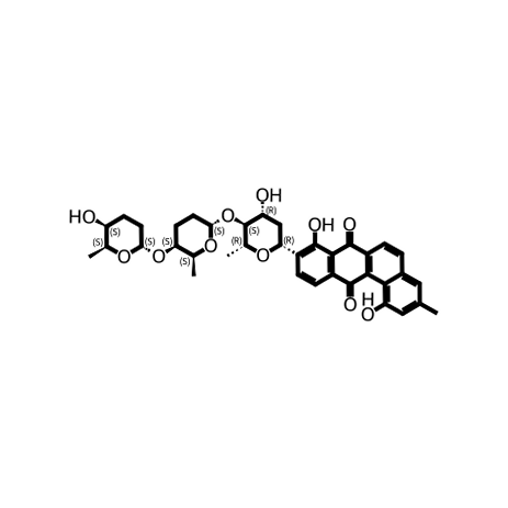 Cc1cc(O)c2c3c(ccc2c1)C(=O)c1c(ccc([C@H]2C[C@@H](O)[C@H](O[C@H]4CC[C@H](O[C@H]5CC[C@H](O)[C@H](C)O5)[C@H](C)O4)[C@@H](C)O2)c1O)C3=O